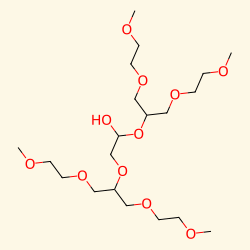 COCCOCC(COCCOC)OCC(O)OC(COCCOC)COCCOC